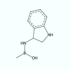 CB(O)NC1CNc2ccccc21